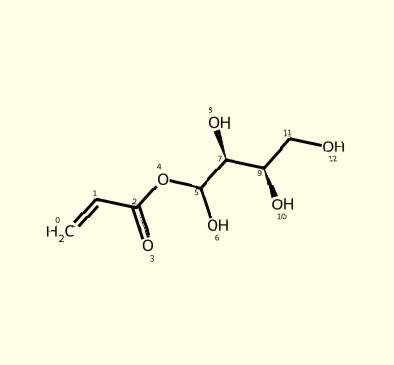 C=CC(=O)OC(O)[C@@H](O)[C@H](O)CO